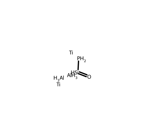 O=[SiH]P.[AlH3].[AlH3].[Ti].[Ti]